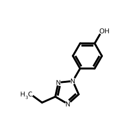 CCc1ncn(-c2ccc(O)cc2)n1